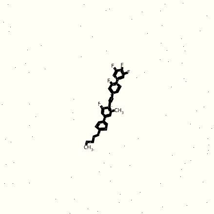 CCCCCc1ccc(-c2cc(C)c(C#Cc3ccc(-c4cc(F)c(F)c(F)c4)c(F)c3)c(F)c2)cc1